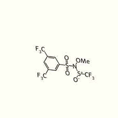 CON([S+]([O-])C(F)(F)F)S(=O)(=O)c1cc(C(F)(F)F)cc(C(F)(F)F)c1